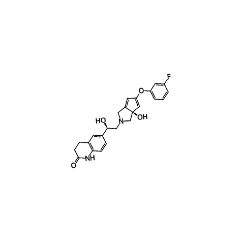 O=C1CCc2cc([C@@H](O)CN3CC4=CC(Oc5cccc(F)c5)=C[C@]4(O)C3)ccc2N1